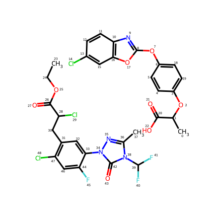 CC(Oc1ccc(Oc2nc3ccc(Cl)cc3o2)cc1)C(=O)O.CCOC(=O)C(Cl)Cc1cc(-n2nc(C)n(C(F)F)c2=O)c(F)cc1Cl